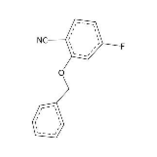 N#Cc1ccc(F)cc1OCc1ccccc1